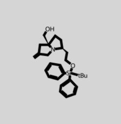 C=C1CN2[C@H](CCO[Si](c3ccccc3)(c3ccccc3)C(C)(C)C)CC[C@@]2(CO)C1